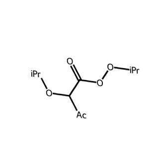 CC(=O)C(OC(C)C)C(=O)OOC(C)C